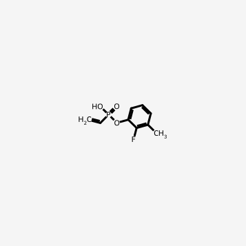 C=CP(=O)(O)Oc1cccc(C)c1F